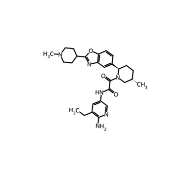 CCc1cc(NC(=O)C(=O)N2C[C@@H](C)CC[C@@H]2c2ccc3oc(C4CCN(C)CC4)nc3c2)cnc1N